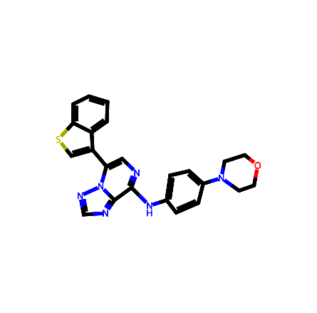 c1ccc2c(-c3cnc(Nc4ccc(N5CCOCC5)cc4)c4ncnn34)csc2c1